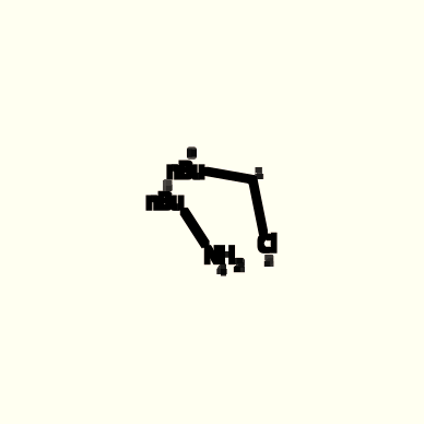 CCCCCCl.CCCCN